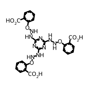 O=C(O)c1ccccc1ONNc1nc(NNOc2ccccc2C(=O)O)nc(NNOc2ccccc2C(=O)O)n1